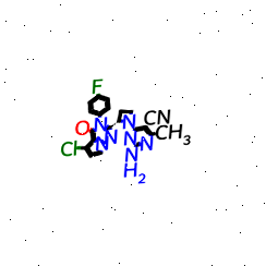 Cc1nc(N)nc(N2CC[C@H]2c2nn3ccc(Cl)c3c(=O)n2-c2ccc(F)cc2)c1C#N